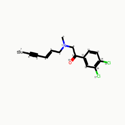 CN(CC=CC#CC(C)(C)C)CC(=O)c1ccc(Cl)c(Cl)c1